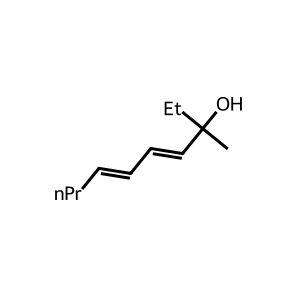 CCCC=CC=CC(C)(O)CC